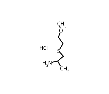 COCCSCC(C)N.Cl